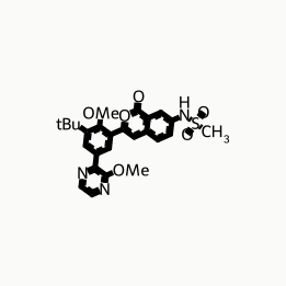 COc1nccnc1-c1cc(-c2cc3ccc(NS(C)(=O)=O)cc3c(=O)o2)c(OC)c(C(C)(C)C)c1